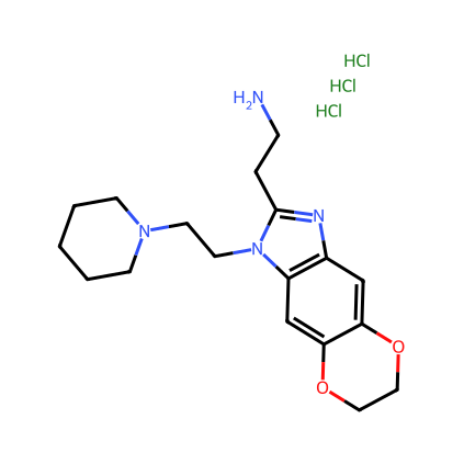 Cl.Cl.Cl.NCCc1nc2cc3c(cc2n1CCN1CCCCC1)OCCO3